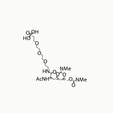 CNC(=O)OC[C@H](CSC[C@H](NC(C)=O)C(=O)NCCOCCOCCOCCP(=O)(O)O)OC(=O)NC